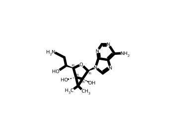 CC1(C)[C@]2(O)[C@H](n3cnc4c(N)ncnc43)O[C@H](C(O)CN)[C@]12O